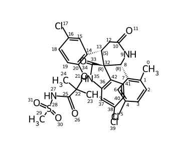 Cc1ccc(Cl)cc1[C@H]1NC(=O)C[C@@H](c2cc(Cl)ccc2OC(C)(C)C(=O)NS(C)(=O)=O)[C@]12C(=O)Nc1cc(Cl)ccc12